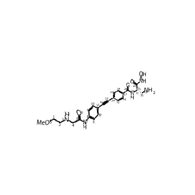 COCCNCC(=O)Nc1ccc(C#Cc2ccc(C(=O)N[C@@H](CN)C(=O)NO)cc2)cc1